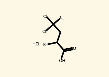 Cl.O=C(O)C(Br)CC(Cl)(Cl)Cl